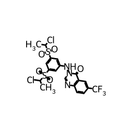 CC(Cl)S(=O)(=O)c1cc(Nn2cnc3ccc(C(F)(F)F)cc3c2=O)cc(S(=O)(=O)C(C)Cl)c1